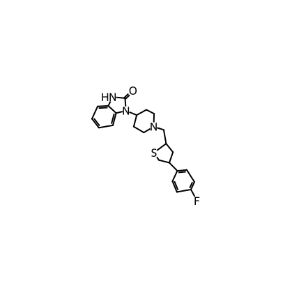 O=c1[nH]c2ccccc2n1C1CCN(CC2CC(c3ccc(F)cc3)CS2)CC1